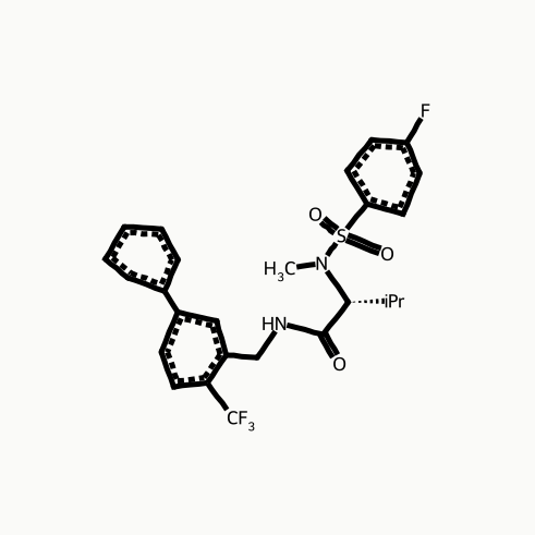 CC(C)[C@H](C(=O)NCc1cc(-c2ccccc2)ccc1C(F)(F)F)N(C)S(=O)(=O)c1ccc(F)cc1